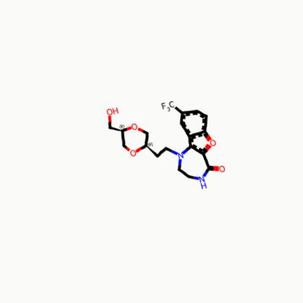 O=C1NCCN(CC[C@@H]2CO[C@H](CO)CO2)c2c1oc1ccc(C(F)(F)F)cc21